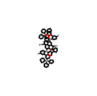 CC(C)c1ccc2c(N(c3ccc(F)cc3-c3cccc([Si](c4ccccc4)(c4ccccc4)c4ccccc4)c3)c3cccc4c3oc3ccccc34)cc3c(C(C)C)ccc4c(N(c5ccc(F)cc5-c5cccc([Si](c6ccccc6)(c6ccccc6)c6ccccc6)c5)c5cccc6c5oc5ccccc56)cc1c2c34